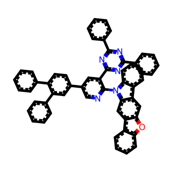 c1ccc(-c2nc(-c3ccccc3)nc(-c3cc(-c4ccc(-c5ccccc5)c(-c5ccccc5)c4)cnc3-n3c4ccccc4c4cc5oc6ccccc6c5cc43)n2)cc1